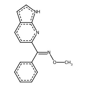 CON=C(c1ccccc1)c1ccc2cc[nH]c2n1